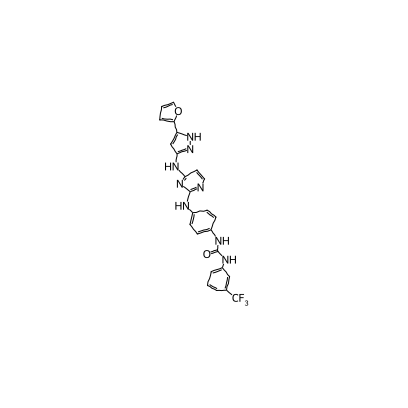 O=C(Nc1ccc(Nc2nccc(Nc3cc(-c4ccco4)[nH]n3)n2)cc1)Nc1cccc(C(F)(F)F)c1